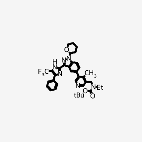 CCN(Cc1cncc(-c2ccc3c(c2)c(-c2nc(-c4ccccc4)c(C(F)(F)F)[nH]2)nn3C2CCCCO2)c1C)C(=O)OC(C)(C)C